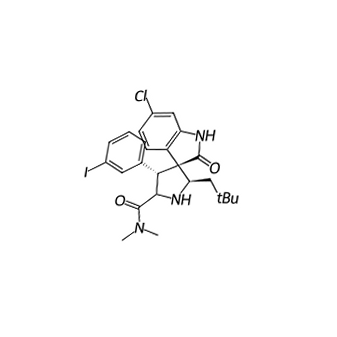 CN(C)C(=O)C1N[C@H](CC(C)(C)C)[C@]2(C(=O)Nc3cc(Cl)ccc32)[C@H]1c1cccc(I)c1